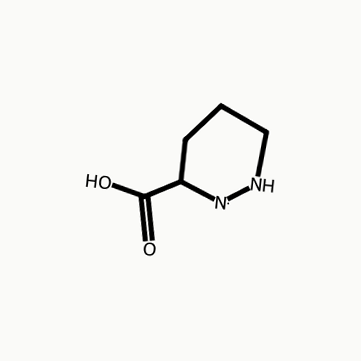 O=C(O)C1CCCN[N]1